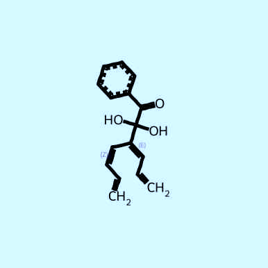 C=C/C=C\C(=C/C=C)C(O)(O)C(=O)c1ccccc1